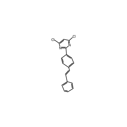 Clc1cc(Cl)nc(-c2ccc(C=Cc3ccccc3)cc2)n1